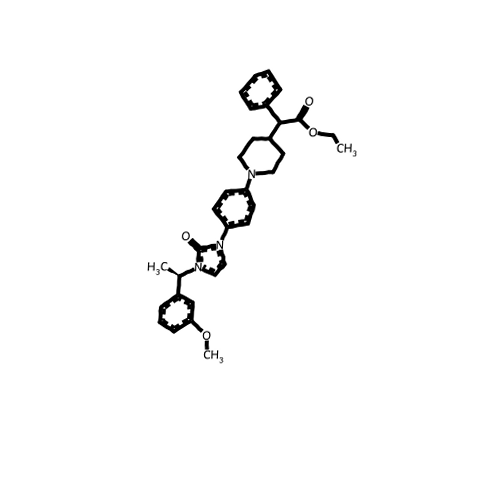 CCOC(=O)C(c1ccccc1)C1CCN(c2ccc(-n3ccn([C@H](C)c4cccc(OC)c4)c3=O)cc2)CC1